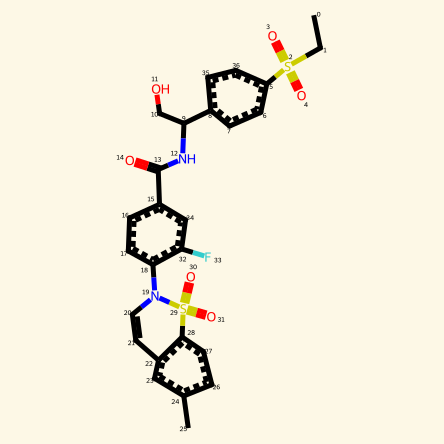 CCS(=O)(=O)c1ccc(C(CO)NC(=O)c2ccc(N3C=Cc4cc(C)ccc4S3(=O)=O)c(F)c2)cc1